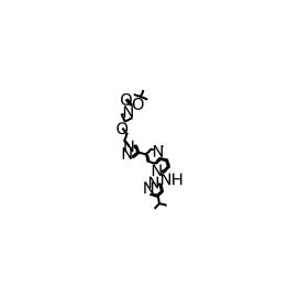 CC(C)c1cnnc(Nc2ccc3c(n2)C=C(c2cnn(CCOC4CN(C(=O)OC(C)(C)C)C4)c2)CN3C)c1